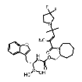 CC(C)(/C=C(\C#N)C(=O)N1CCCCC[C@@H]1COC(=O)N[C@@H](Cc1coc2ccccc12)B(O)O)N1CCC(F)(F)C1